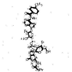 Cc1ccc(C(=O)Nc2ncnc3c2ncn3[C@@H]2O[C@H](COP(O)(=S)O[C@@H]3[C@H](F)[C@@H](CO)O[C@H]3n3cnc4c(=O)[nH]c(NC(=O)C(C)C)nc43)[C@@H](O)[C@H]2F)cc1